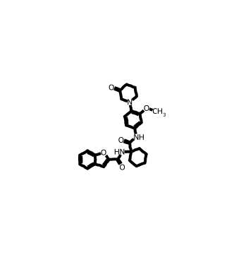 COc1cc(NC(=O)C2(NC(=O)c3cc4ccccc4o3)CCCCC2)ccc1N1CCCC(=O)C1